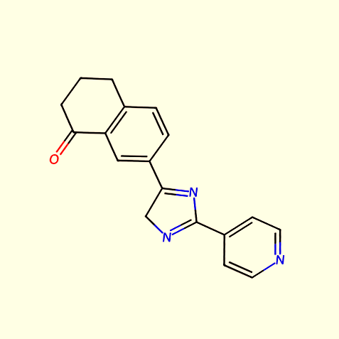 O=C1CCCc2ccc(C3=NC(c4ccncc4)=NC3)cc21